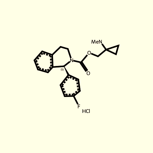 CNC1(COC(=O)N2CCc3ccccc3[C@@H]2c2ccc(F)cc2)CC1.Cl